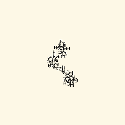 O=C(COc1cccc(C(O)(C(=O)O)c2ccccc2)c1)NC1CCCN(C(=O)c2ccc(CCNCC(O)c3ccc(O)c4[nH]c(=O)ccc34)cc2)C1